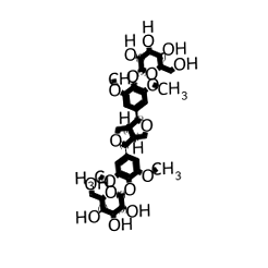 COc1cc([C@H]2OC[C@@H]3[C@@H]2CO[C@H]3c2cc(OC)c(O[C@@H]3OC(CO)[C@@H](O)C(O)[C@@H]3O)c(OC)c2)cc(OC)c1O[C@@H]1OC(CO)[C@@H](O)C(O)[C@@H]1O